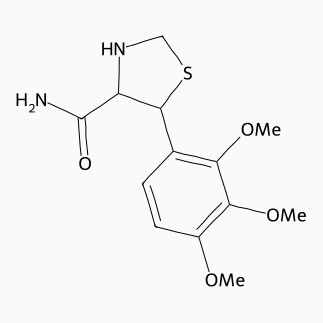 COc1ccc(C2SCNC2C(N)=O)c(OC)c1OC